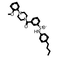 CCCCc1ccc(N[S+]([O-])c2cccc(C(=O)N3CCN(c4ccccc4OC)CC3)c2)cc1